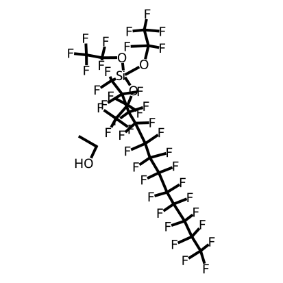 CCO.FC(F)(F)C(F)(F)O[Si](OC(F)(F)C(F)(F)F)(OC(F)(F)C(F)(F)F)C(F)(F)C(F)(F)C(F)(F)C(F)(F)C(F)(F)C(F)(F)C(F)(F)C(F)(F)C(F)(F)C(F)(F)C(F)(F)C(F)(F)F